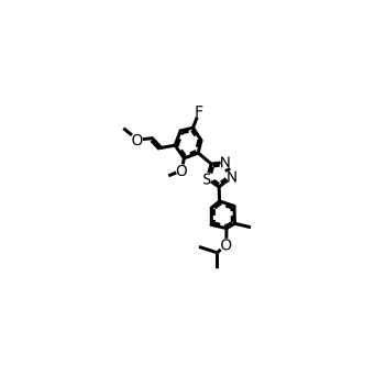 CO/C=C/c1cc(F)cc(-c2nnc(-c3ccc(OC(C)C)c(C)c3)s2)c1OC